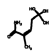 CC(=CCC(O)(O)O)C(N)=O